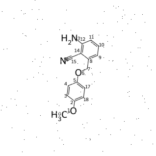 COc1ccc(OCc2cccc(N)c2C#N)cc1